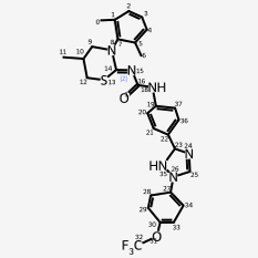 Cc1cccc(C)c1N1CC(C)CS/C1=N\C(=O)Nc1ccc(C2N=CN(c3ccc(OC(F)(F)F)cc3)N2)cc1